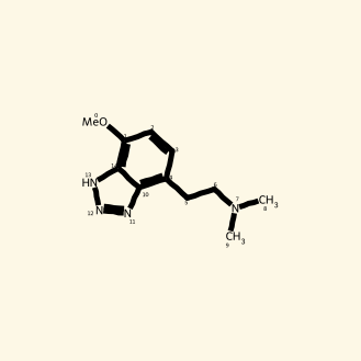 COc1ccc(CCN(C)C)c2nn[nH]c12